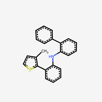 Cc1ccsc1-c1ccccc1Nc1ccccc1-c1ccccc1